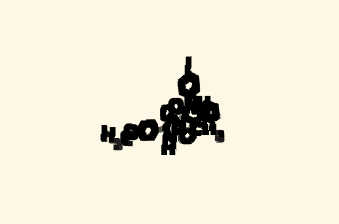 COc1ccc([C@H]2NC(=O)N(C(C(=O)Nc3ccc(I)cc3)[C@@H](C)c3ccccc3)C2=O)cc1